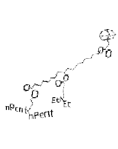 CCCCCC(CCCCC)CCOC(=O)CCCCCCCC(CCCCCCCCOC(=O)CC12CC3CC(CC(C3)C1)C2)OC(=O)CCCN(CC)CC